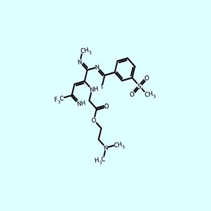 C/N=C(\N=C(/I)c1cccc(S(C)(=O)=O)c1)C(=C/C(=N)C(F)(F)F)/NCC(=O)OCCN(C)C